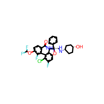 NC(=O)c1ccc(OC(F)F)c(F)c1-c1c(Cl)c(F)cc2c1C[C@@](CN[C@H]1CC[C@@H](O)CC1)(c1ccccc1)O2